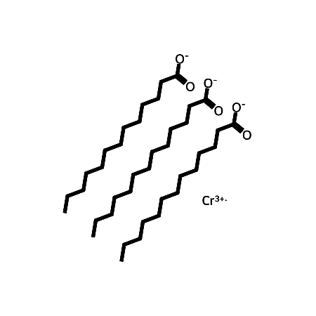 CCCCCCCCCCCCC(=O)[O-].CCCCCCCCCCCCC(=O)[O-].CCCCCCCCCCCCC(=O)[O-].[Cr+3]